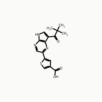 CC(C)(C)C(=O)c1c[nH]c2ncc(-c3cc(C(=O)O)cs3)nc12